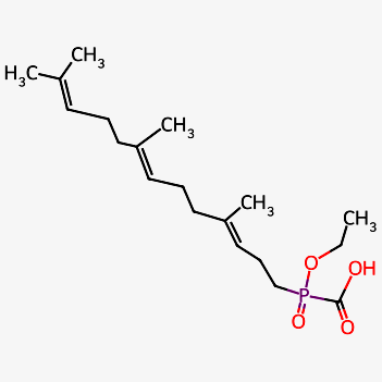 CCOP(=O)(CC/C=C(\C)CC/C=C(\C)CCC=C(C)C)C(=O)O